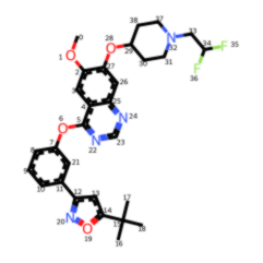 COc1cc2c(Oc3cccc(-c4cc(C(C)(C)C)on4)c3)ncnc2cc1OC1CCN(CC(F)F)CC1